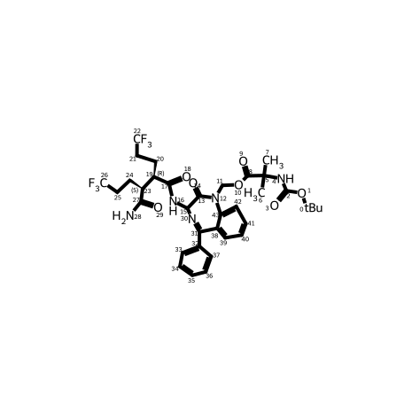 CC(C)(C)OC(=O)NC(C)(C)C(=O)OCN1C(=O)C(NC(=O)[C@H](CCC(F)(F)F)[C@H](CCC(F)(F)F)C(N)=O)N=C(c2ccccc2)c2ccccc21